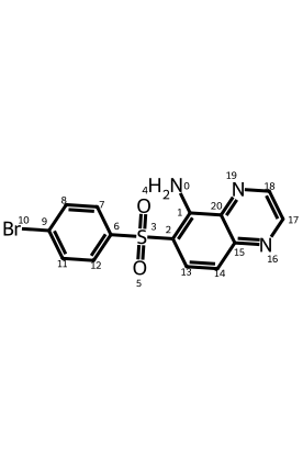 Nc1c(S(=O)(=O)c2ccc(Br)cc2)ccc2nccnc12